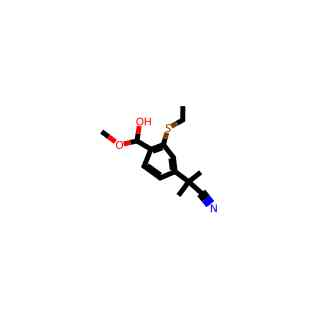 CCSc1cc(C(C)(C)C#N)ccc1C(O)OC